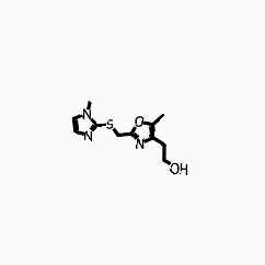 Cc1oc(CSc2nccn2C)nc1CCO